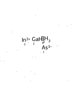 B.[As-3].[GaH3].[In+3]